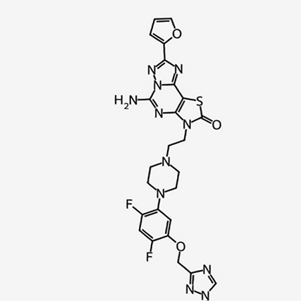 Cn1cnc(COc2cc(N3CCN(CCn4c(=O)sc5c4nc(N)n4nc(-c6ccco6)nc54)CC3)c(F)cc2F)n1